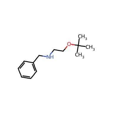 CC(C)(C)OCCNCc1ccccc1